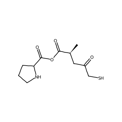 C[C@@H](CC(=O)CS)C(=O)OC(=O)C1CCCN1